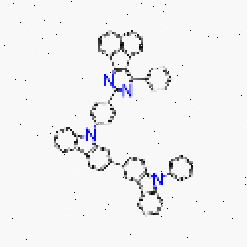 c1ccc(-c2nc(-c3ccc(-n4c5ccccc5c5ccc(-c6ccc7c(c6)c6ccccc6n7-c6ccccc6)cc54)cc3)nc3c2-c2cccc4cccc-3c24)cc1